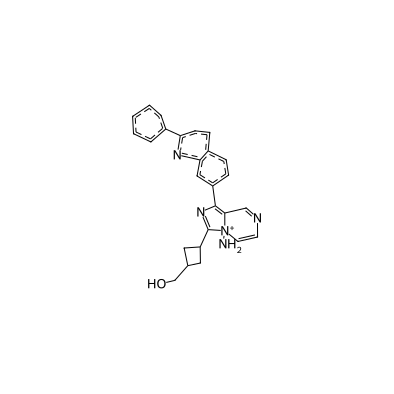 N[N+]12C=CN=CC1=C(c1ccc3ccc(-c4ccccc4)nc3c1)N=C2C1CC(CO)C1